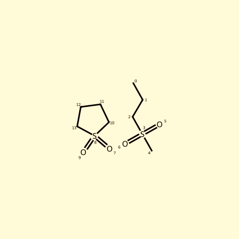 CCCS(C)(=O)=O.O=S1(=O)CCCC1